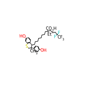 CCC(CCCCCCCCC1c2ccc(O)cc2SCC1(C)c1ccc(O)cc1)(CCCC(F)(F)C(F)(F)F)C(=O)O